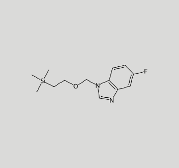 C[Si](C)(C)CCOCn1cnc2cc(F)ccc21